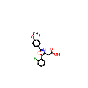 COc1ccc(-c2nc(CC(=O)O)c(-c3ccccc3F)o2)cc1